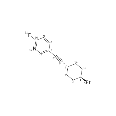 CC[C@H]1CC[C@H](C#Cc2ccc(F)nc2)CC1